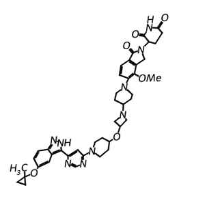 COc1c(N2CCC(N3CC(OC4CCN(c5cc(-c6[nH]nc7ccc(OC8(C)CC8)cc67)ncn5)CC4)C3)CC2)ccc2c1CN(C1CCC(=O)NC1=O)C2=O